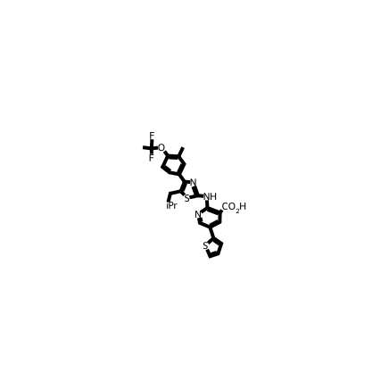 Cc1cc(-c2nc(Nc3ncc(-c4cccs4)cc3C(=O)O)sc2CC(C)C)ccc1OC(C)(F)F